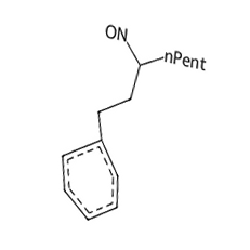 CCCCCC(CCc1ccccc1)N=O